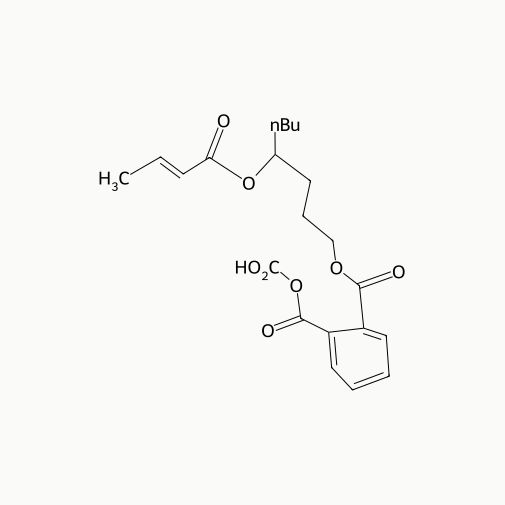 CC=CC(=O)OC(CCCC)CCCOC(=O)c1ccccc1C(=O)OC(=O)O